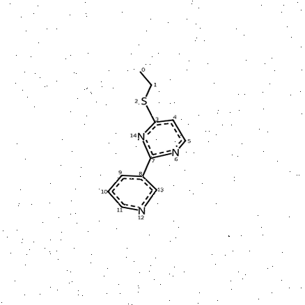 CCSc1ccnc(-c2cccnc2)n1